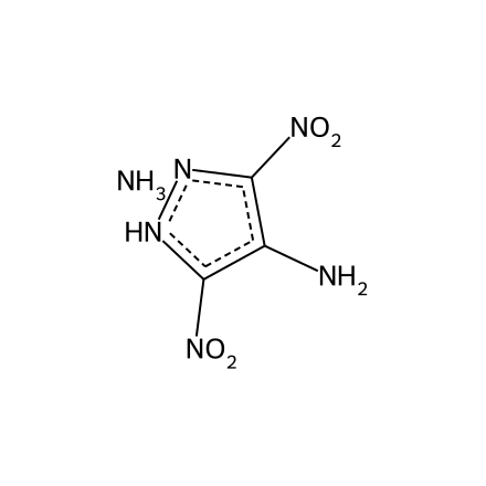 N.Nc1c([N+](=O)[O-])n[nH]c1[N+](=O)[O-]